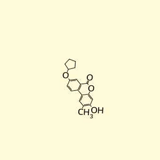 Cc1cc2c(cc1O)oc(=O)c1cc(OC3CCCC3)ccc12